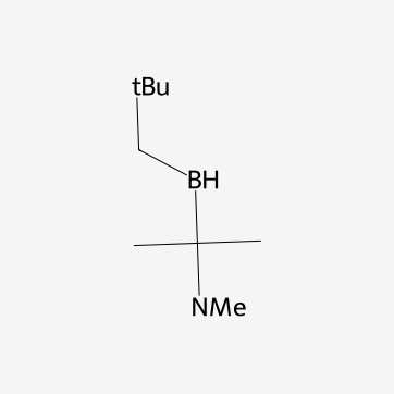 CNC(C)(C)BCC(C)(C)C